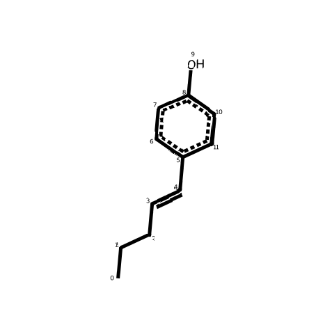 CCCC=Cc1ccc(O)cc1